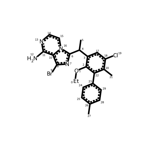 CCOc1c(C(C)c2nc(Br)c3c(N)nccn23)cc(Cl)c(C)c1-c1ccc(C)cc1